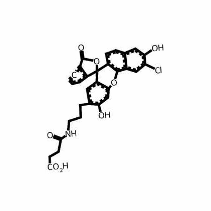 O=C(O)CCC(=O)NCCCc1cc2c(cc1O)Oc1c(ccc3cc(O)c(Cl)cc13)C21OC(=O)c2ccccc21